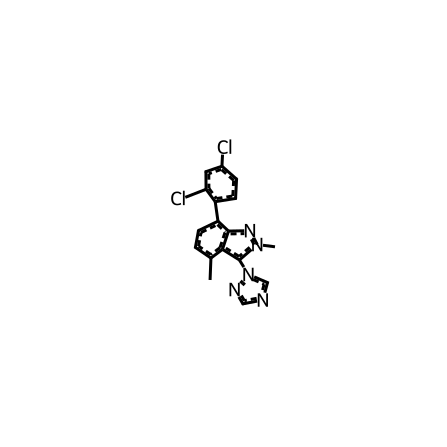 Cc1ccc(-c2ccc(Cl)cc2Cl)c2nn(C)c(-n3cncn3)c12